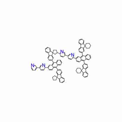 c1cncc(-c2ccc(-c3ccc4c(-c5ccc6c(c5)C5(CCCC5)c5ccccc5-6)c5ccccc5c(-c5ccc6c(c5)C5(CCC(c7ccc(-c8ccc(-c9ccc%10c(-c%11ccc%12c(c%11)C%11(CCCCC%11)c%11ccccc%11-%12)c%11ccccc%11c(-c%11ccc%12c(c%11)C%11(CCCCC%11)c%11ccccc%11-%12)c%10c9)nc8)cn7)C5)c5ccccc5-6)c4c3)nc2)c1